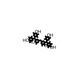 Cc1cc(Cc2cc(C)c(O)c(C(c3cc(C)c(O)c(C)c3C)c3cc(C)c(O)c(C)c3C)c2)cc(C(c2cc(C)c(O)c(C)c2C)c2cc(C)c(O)c(C)c2C)c1O